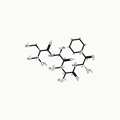 CC(=O)N(C)[C@@H](CC(C)C)C(=O)N[C@H](C(=O)N(C)C(C)C(=O)N[C@@H](C)C(=O)N1CCCCC1)C(C)C